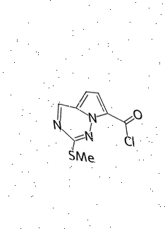 CSc1ncc2ccc(C(=O)Cl)n2n1